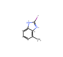 Cc1cccc2[nH]c(I)nc12